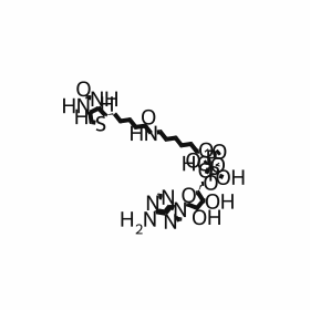 Nc1ncnc2c1ncn2[C@@H]1O[C@H](COP(=O)(O)OP(=O)(O)OC(=O)CCCCCNC(=O)CCCC[C@@H]2SC[C@@H]3NC(=O)N[C@@H]32)C(O)[C@@H]1O